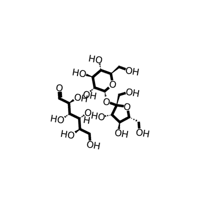 O=C[C@@H](O)[C@@H](O)[C@H](O)[C@H](O)CO.OC[C@H]1O[C@@](CO)(O[C@H]2O[C@H](CO)[C@@H](O)[C@H](O)[C@H]2O)[C@@H](O)[C@@H]1O